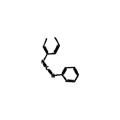 C/C=C\C(=C/C)N=C=Nc1ccccc1